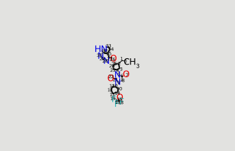 CCc1cc(N2C(=O)CN(c3cccc(OC(F)(F)F)c3)C2=O)ccc1Oc1ncnc2[nH]ccc12